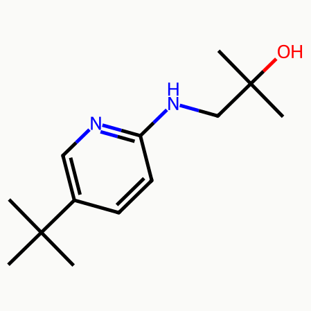 CC(C)(O)CNc1ccc(C(C)(C)C)cn1